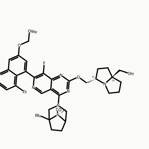 CCc1cccc2cc(OCOC)cc(-c3ncc4c(N5CC6CCC(C(C)(C)C)(C5)N6C(=O)O)nc(OC[C@@H]5CC[C@]6(CO)CCCN56)nc4c3F)c12